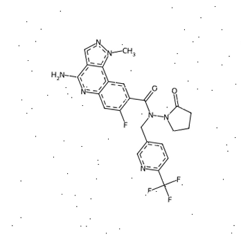 Cn1ncc2c(N)nc3cc(F)c(C(=O)N(Cc4ccc(C(F)(F)F)nc4)N4CCCC4=O)cc3c21